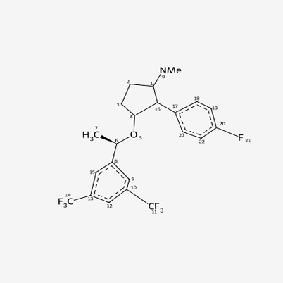 CNC1CCC(O[C@H](C)c2cc(C(F)(F)F)cc(C(F)(F)F)c2)C1c1ccc(F)cc1